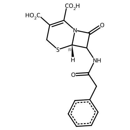 O=C(Cc1ccccc1)NC1C(=O)N2C(C(=O)O)=C(C(=O)O)CS[C@@H]12